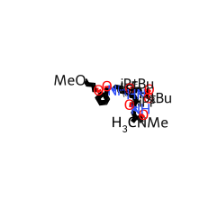 CNC(=O)C(C)CNC(=O)[C@@H](CC[C@@H](C[C@@H](CNC(=O)c1ccccc1OCCCCOC)C(C)C)O[Si](C)(CNC(=O)OC(C)(C)C)C(C)(C)C)C(C)C